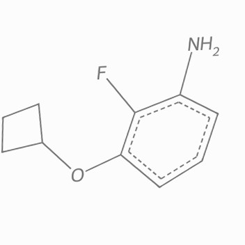 Nc1cccc(OC2CCC2)c1F